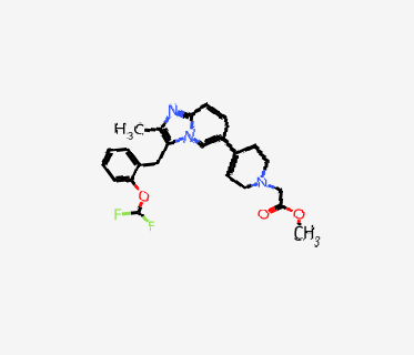 COC(=O)CN1CC=C(c2ccc3nc(C)c(Cc4ccccc4OC(F)F)n3c2)CC1